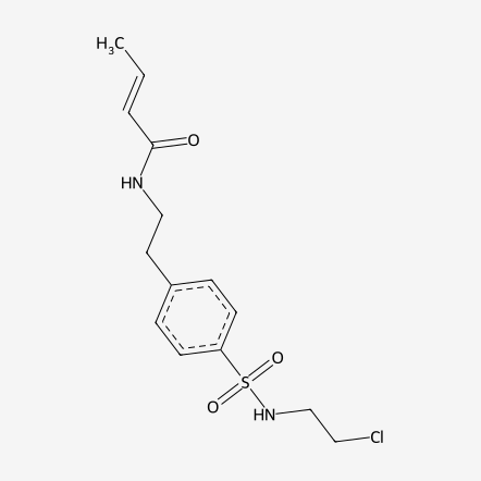 CC=CC(=O)NCCc1ccc(S(=O)(=O)NCCCl)cc1